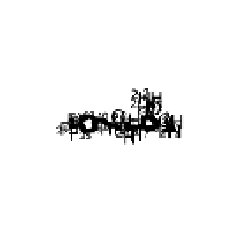 [2H]C([2H])([2H])Oc1ccc(C([2H])([2H])C([2H])([2H])NC(=O)CCc2ccc(C(F)(F)F)cc2)cc1OC([2H])([2H])[2H]